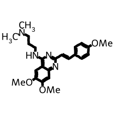 COc1ccc(C=Cc2nc(NCCCN(C)C)c3cc(OC)c(OC)cc3n2)cc1